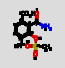 CCCc1ccc(C(=O)O)c(C(N)=O)c1OS(C)(=O)=O